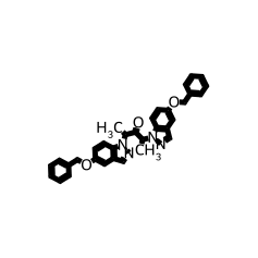 CC(C(=O)C(C)n1ncc2cc(OCc3ccccc3)ccc21)n1ncc2cc(OCc3ccccc3)ccc21